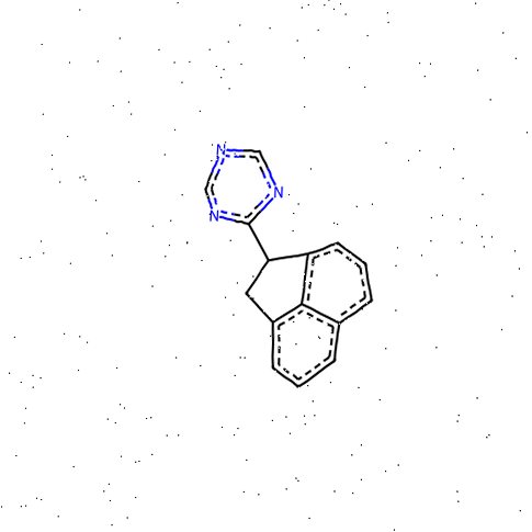 c1cc2c3c(cccc3c1)C(c1ncncn1)C2